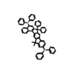 CC1(C)c2cc(P(c3ccccc3)c3ccccc3)ccc2-c2cc3c(cc21)-c1c(cc(P(c2ccccc2)c2ccccc2)c2ccccc12)C3(c1ccccc1)c1ccccc1